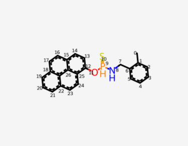 Cc1ccccc1CN[PH](=S)Oc1ccc2ccc3cccc4ccc1c2c34